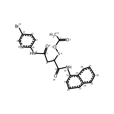 CC(=O)OSC(CC(=O)Nc1ccc(Br)cn1)C(=O)Nc1cccc2ccccc12